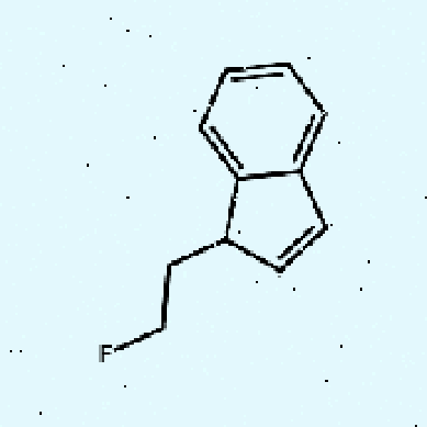 FCCC1[C]=Cc2ccccc21